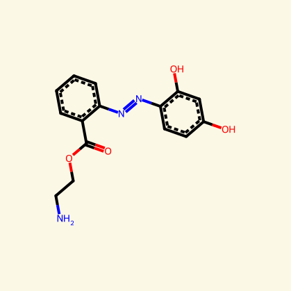 NCCOC(=O)c1ccccc1/N=N/c1ccc(O)cc1O